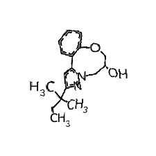 CCC(C)(C)c1cc2n(n1)C[C@H](O)COc1ccccc1-2